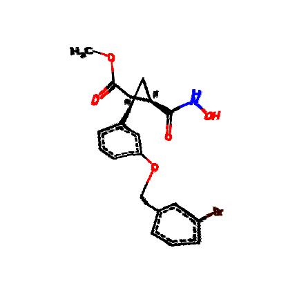 COC(=O)[C@]1(c2cccc(OCc3cccc(Br)c3)c2)C[C@H]1C(=O)NO